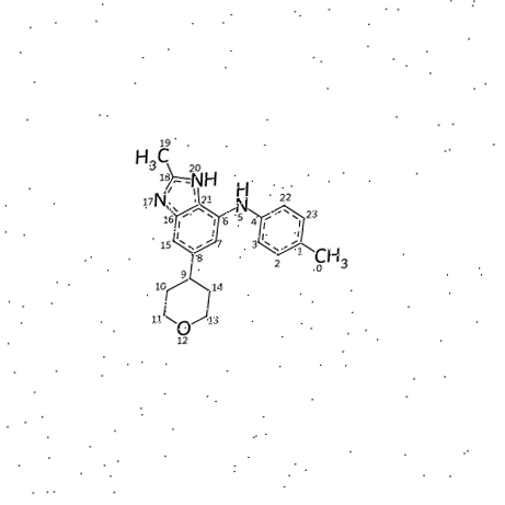 Cc1ccc(Nc2cc(C3CCOCC3)cc3nc(C)[nH]c23)cc1